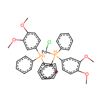 COc1ccc([PH](c2ccccc2)(c2ccccc2)[Pd]([Cl])[PH](c2ccccc2)(c2ccccc2)c2ccc(OC)c(OC)c2)cc1OC